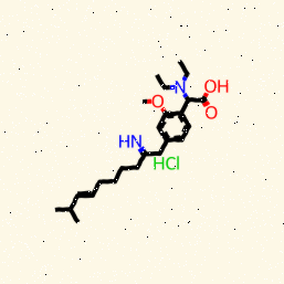 CCN(CC)C(C(=O)O)c1ccc(CC(=N)CCCC/C=C/C(C)C)cc1OC.Cl